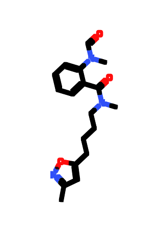 Cc1cc(CCCCN(C)C(=O)c2ccccc2N(C)C=O)on1